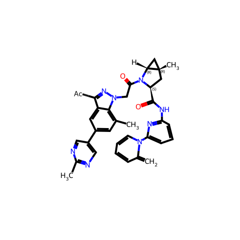 C=C1C=CC=CN1c1cccc(NC(=O)[C@@H]2C[C@@]3(C)C[C@H]3N2C(=O)Cn2nc(C(C)=O)c3cc(-c4cnc(C)nc4)cc(C)c32)n1